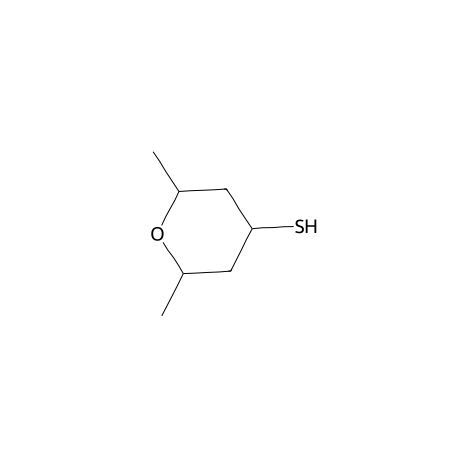 CC1CC(S)CC(C)O1